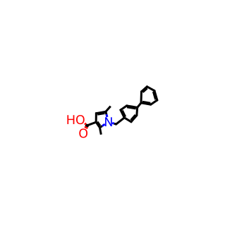 Cc1cc(C(=O)O)c(C)n1Cc1ccc(-c2ccccc2)cc1